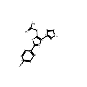 O=C(O)Cc1sc(-c2ccc(F)cc2)nc1-c1ccsc1